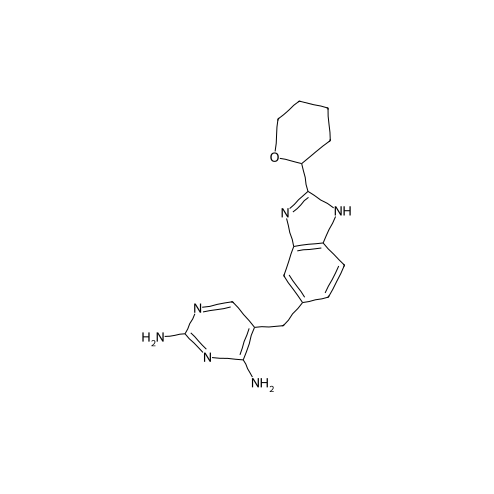 Nc1ncc(Cc2ccc3[nH]c(C4CCCCO4)nc3c2)c(N)n1